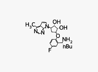 CCCC[C@@H](N)c1cc(F)ccc1O[C@H]1C[C@@H](n2ccc3c(C)ncnc32)[C@H](O)[C@@H]1O